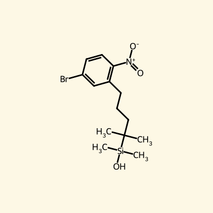 CC(C)(CCCc1cc(Br)ccc1[N+](=O)[O-])[Si](C)(C)O